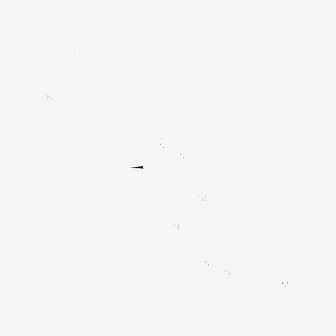 COCc1cc2c(Nc3cc([C@H]4CCC(OC(=O)NC5CC5)C4)[nH]n3)nccn2n1